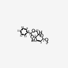 CO[C@H]1C=C[C@H]2OC(c3ccccc3)OC[C@H]2O1